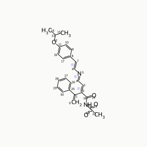 C=C(\C(=C/C=N/C=C/c1ccc(OC(C)C)cc1)C(=O)NS(C)(=O)=O)c1ccccc1